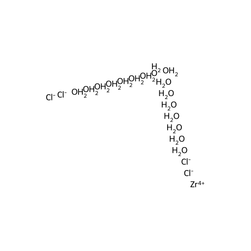 O.O.O.O.O.O.O.O.O.O.O.O.O.O.O.O.[Cl-].[Cl-].[Cl-].[Cl-].[Zr+4]